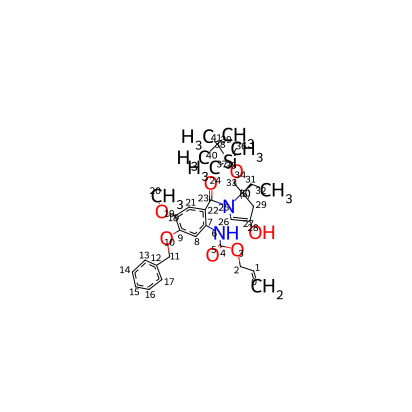 C=CCOC(=O)Nc1cc(OCc2ccccc2)c(OC)cc1C(=O)N1C=C(O)C[C@@]1(CC)CO[Si](C)(C)C(C)(C)C